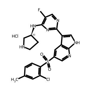 Cc1ccc(S(=O)(=O)c2cnc3[nH]cc(-c4ncc(F)c(N[C@H]5CCNC5)n4)c3c2)c(Cl)c1.Cl